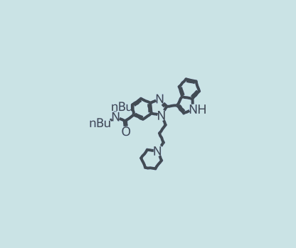 CCCCN(CCCC)C(=O)c1ccc2nc(-c3c[nH]c4ccccc34)n(CCCN3CCCCC3)c2c1